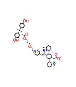 [C-]#[N+]/C(=C\c1cc[n+](CCOCCCOC(=O)CCC(C)(c2ccc(O)cc2)c2ccc(O)cc2)cc1)c1cc(-c2ccccc2)c(C(C#N)C(=O)OC)cc1-c1ccccc1